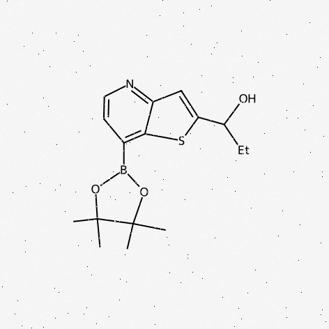 CCC(O)c1cc2nccc(B3OC(C)(C)C(C)(C)O3)c2s1